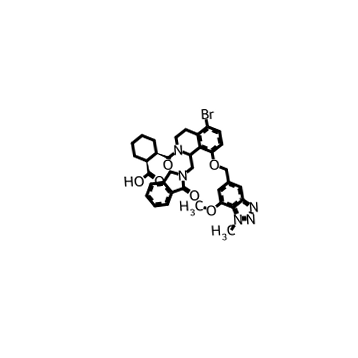 COc1cc(COc2ccc(Br)c3c2C(CN2Cc4ccccc4C2=O)N(C(=O)[C@@H]2CCCC[C@@H]2C(=O)O)CC3)cc2nnn(C)c12